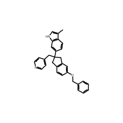 Cc1c[nH]c2cc(C3(Cc4ccncc4)Cc4ccc(OCc5ccccc5)cc4C3)ccc12